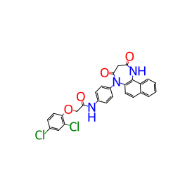 O=C(COc1ccc(Cl)cc1Cl)Nc1ccc(N2C(=O)CC(=O)Nc3c2ccc2ccccc32)cc1